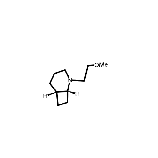 COCCN1CCC[C@H]2CC[C@H]21